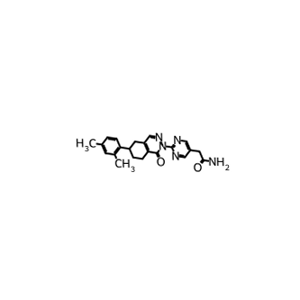 Cc1ccc(C2CCc3c(cnn(-c4ncc(CC(N)=O)cn4)c3=O)C2)c(C)c1